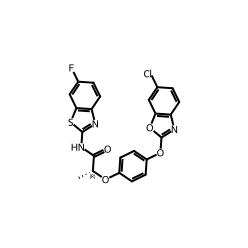 C[C@@H](Oc1ccc(Oc2nc3ccc(Cl)cc3o2)cc1)C(=O)Nc1nc2ccc(F)cc2s1